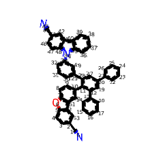 N#Cc1ccc2oc3ccc(-c4c(-c5ccccc5)cc(-c5ccccc5)cc4-c4cccc(-n5c6ccccc6c6cc(C#N)ccc65)c4)cc3c2c1